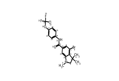 CN1CC(C)(C)c2c(Br)cc(C(=O)Nc3ccc(OC(F)(F)Cl)cc3)cc21